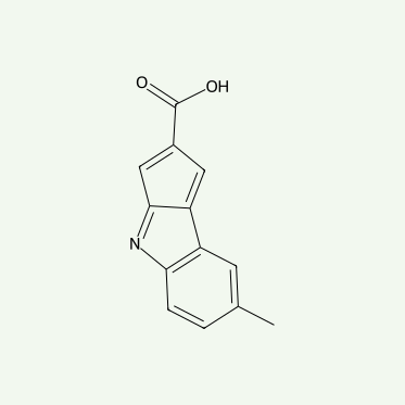 Cc1ccc2c(c1)C1=CC(C(=O)O)=CC1=N2